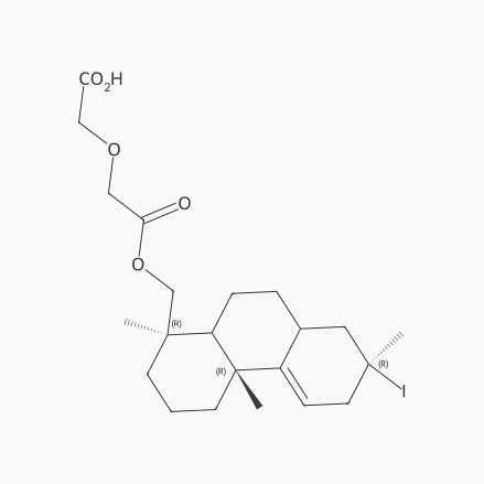 C[C@]1(I)CC=C2C(CCC3[C@](C)(COC(=O)COCC(=O)O)CCC[C@@]23C)C1